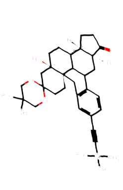 CC1(C)COC2(CC[C@@]34Cc5cc(C#C[Si](C)(C)C)ccc5C5C[C@]6(C)C(=O)CC[C@H]6[C@H](CC[C@@]3(O)C2)C54)OC1